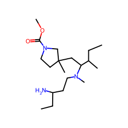 CCC(N)CCN(C)C(CC1(C)CCN(C(=O)OC)C1)C(C)CC